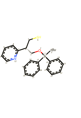 CC(C)(C)[Si](OC[C@@H](CS)c1ccccn1)(c1ccccc1)c1ccccc1